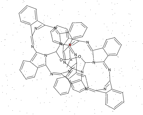 C[Si](C)(OC1n2c3c4ccccc4c2/N=C2N=C(/N=c4/c5ccccc5/c(n41)=N/C1=NC(=N\3)/c3ccccc31)c1ccccc1\2)OC1n2c3c4ccccc4c2/N=C2N=C(/N=c4/c5ccccc5/c(n41)=N/C1=NC(=N\3)/c3ccccc31)c1ccccc1\2